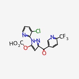 O=C(O)Oc1cc(C(=O)c2ccc(C(F)(F)F)nc2)nn1-c1ncccc1Cl